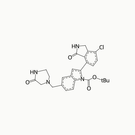 CC(C)(C)OC(=O)n1c(-c2ccc(Cl)c3c2C(=O)NC3)cc2cc(CN3CCNC(=O)C3)ccc21